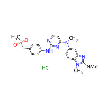 CNc1nc2cc(N(C)c3ccnc(Nc4ccc(CS(C)(=O)=O)cc4)n3)ccc2n1C.Cl